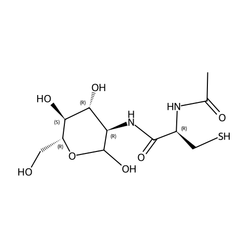 CC(=O)N[C@@H](CS)C(=O)N[C@H]1C(O)O[C@H](CO)[C@@H](O)[C@@H]1O